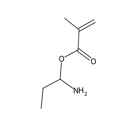 C=C(C)C(=O)OC(N)CC